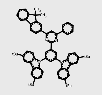 CC(C)(C)c1ccc2c(c1)c1cc(C(C)(C)C)ccc1n2-c1cc(-c2nc(-c3ccccc3)cc(-c3ccc4c(c3)C(C)(C)c3ccccc3-4)n2)cc(-n2c3ccc(C(C)(C)C)cc3c3cc(C(C)(C)C)ccc32)c1